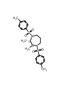 Cc1ccc(S(=O)(=O)N2CCCN(S(=O)(=O)c3ccc(C)cc3)[C@@H](C)[C@@H]2C)cc1